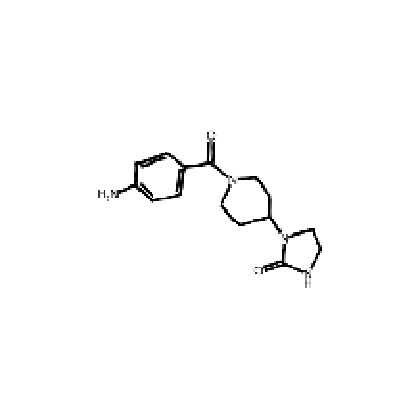 Nc1ccc(C(=O)N2CCC(N3CCNC3=O)CC2)cc1